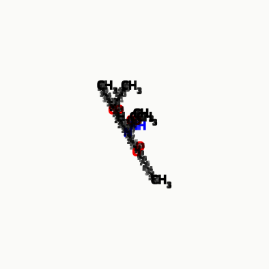 CCCCCCCCCCCOC(=O)CCCCCN(CCCCCCCC(=O)OC(CCCCCCCC)CCCCCCCC)CCNC(=O)OC(C)(C)C